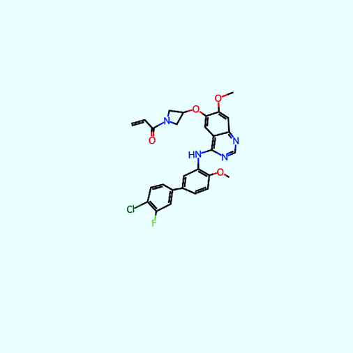 C=CC(=O)N1CC(Oc2cc3c(Nc4cc(-c5ccc(Cl)c(F)c5)ccc4OC)ncnc3cc2OC)C1